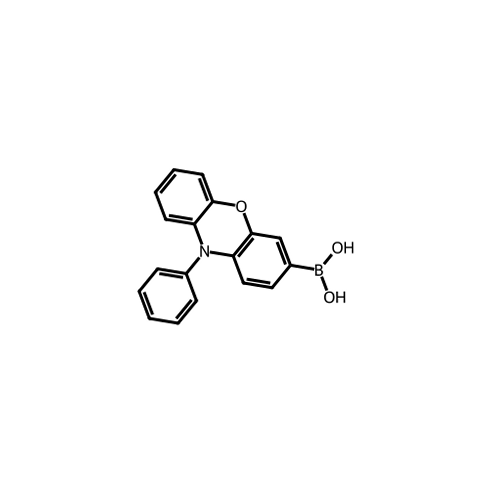 OB(O)c1ccc2c(c1)Oc1ccccc1N2c1ccccc1